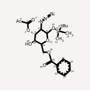 CC(=O)C(=O)O[C@@H]1C(N=[N+]=[N-])C(O[Si](C)(C)C(C)(C)C)OC(COC(=O)c2ccccc2)[C@H]1O